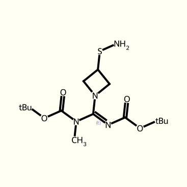 CN(C(=O)OC(C)(C)C)/C(=N/C(=O)OC(C)(C)C)N1CC(SN)C1